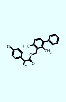 Cc1ccc(-c2ccccc2)c(C)c1COC(=O)C(c1ccc(Cl)cc1)C(C)C